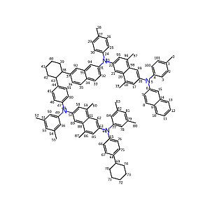 Cc1ccc(N(c2ccc3ccccc3c2)c2cc(C)c3cc(N(c4ccc(C)cc4)c4ccc5ccc(C6CCCCC6c6ccc(N(c7cc(C)cc(C)c7)c7cc(C)c8cc(N(c9ccc(C%10CCCCC%10)cc9)c9cc(C)cc(C)c9)cc(C)c8c7)cc6)cc5c4)cc(C)c3c2)cc1